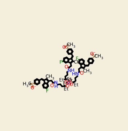 CCC(CC)(CCCNC(=O)CC1=C(C)/C(=C/c2ccc([S+](C)[O-])cc2)c2ccc(F)cc21)OP(=O)(OC(CC)(CC)CCCNC(=O)CC1=C(C)/C(=C/c2ccc([S+](C)[O-])cc2)c2ccc(F)cc21)OC(CC)(CC)CCCNC(=O)CC1=C(C)/C(=C/c2ccc([S+](C)[O-])cc2)c2ccc(F)cc21